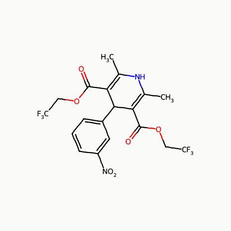 CC1=C(C(=O)OCC(F)(F)F)C(c2cccc([N+](=O)[O-])c2)C(C(=O)OCC(F)(F)F)=C(C)N1